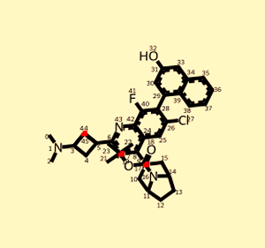 CN(C)C12CC(c3nc(N4CC5CCC(C4)N5C(=O)OC(C)(C)C)c4cc(Cl)c(-c5cc(O)cc6ccccc56)c(F)c4n3)(C1)C2